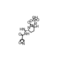 N=C(NC(=O)c1cnoc1)[C@@H]1CC[C@@H]2CN1C(=O)N2OS(=O)(=O)O